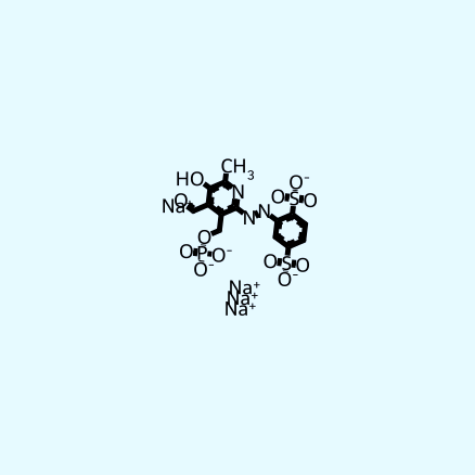 Cc1nc(N=Nc2cc(S(=O)(=O)[O-])ccc2S(=O)(=O)[O-])c(COP(=O)([O-])[O-])c(C=O)c1O.[Na+].[Na+].[Na+].[Na+]